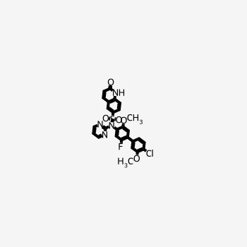 COc1cc(-c2cc(OC)c(N(c3ncccn3)S(=O)(=O)c3ccc4[nH]c(=O)ccc4c3)cc2F)ccc1Cl